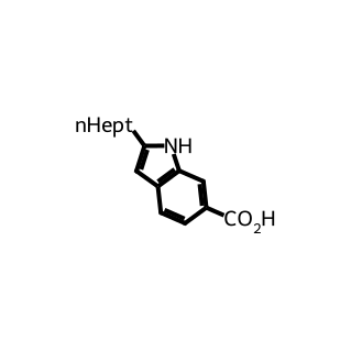 CCCCCCCc1cc2ccc(C(=O)O)cc2[nH]1